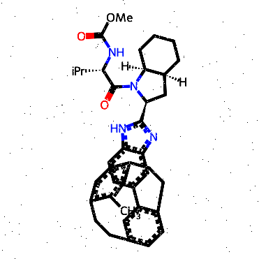 COC(=O)N[C@H](C(=O)N1[C@H](c2nc3cc(-c4cc5ccc4CCc4ccc(c(C)c4)CC5)ccc3[nH]2)C[C@@H]2CCCC[C@@H]21)C(C)C